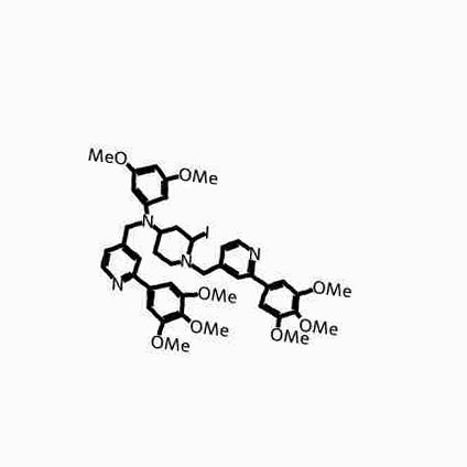 COc1cc(OC)cc(N(Cc2ccnc(-c3cc(OC)c(OC)c(OC)c3)c2)C2CCN(Cc3ccnc(-c4cc(OC)c(OC)c(OC)c4)c3)C(I)C2)c1